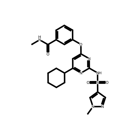 CNC(=O)c1cccc(Oc2cc(C3CCCCC3)nc(NS(=O)(=O)c3cnn(C)c3)n2)c1